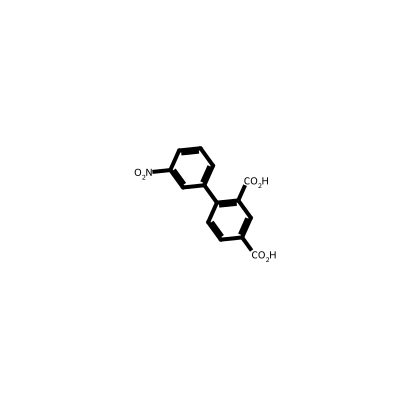 O=C(O)c1ccc(-c2cccc([N+](=O)[O-])c2)c(C(=O)O)c1